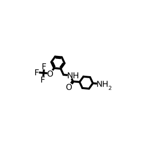 NC1CCC(C(=O)NCc2ccccc2OC(F)(F)F)CC1